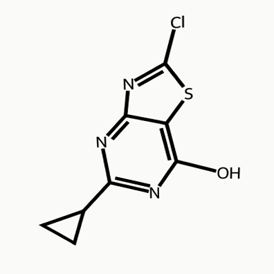 Oc1nc(C2CC2)nc2nc(Cl)sc12